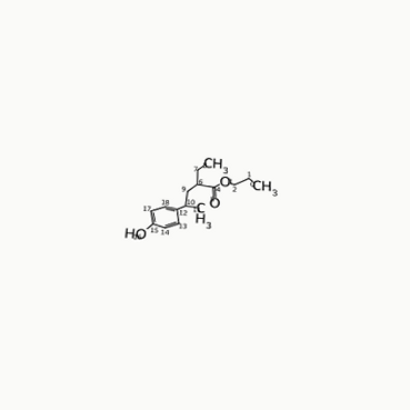 CCCOC(=O)C(CC)CC(C)c1ccc(O)cc1